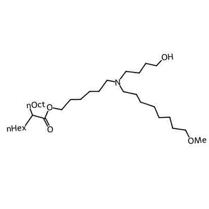 CCCCCCCCC(CCCCCC)C(=O)OCCCCCCN(CCCCO)CCCCCCCCOC